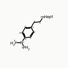 CCCCCCCCCc1ccc(N(P)P)cc1